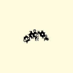 CCSc1nc(N2CCOCC2)cc(C)c1C(=O)NCc1ccc(OC(F)F)cc1